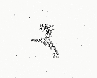 COc1ccc2c(Cc3ccc(OC4CCCCC4N(C)C)cc3)c(-c3ccc(OCCN4CCCC4)cc3)sc2c1